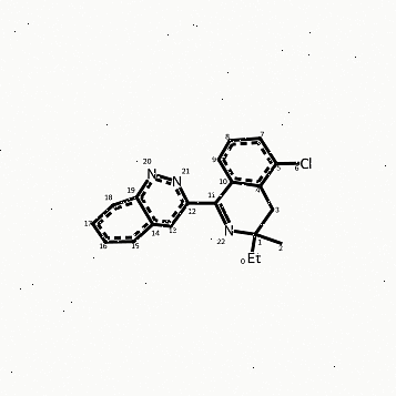 CCC1(C)Cc2c(Cl)cccc2C(c2cc3ccccc3nn2)=N1